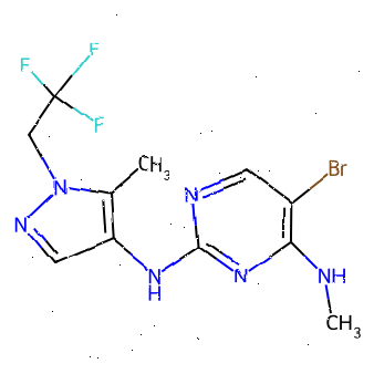 CNc1nc(Nc2cnn(CC(F)(F)F)c2C)ncc1Br